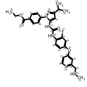 CCOC(=O)c1ccc(-n2nc(C(C)C)cc2NC(=O)Nc2ccc(Oc3ccnc(CNC)c3)cc2F)cc1